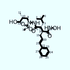 CC(C)C[C@@H](C(=O)NN(C[C@@H](C)CO)S(C)(=O)=O)[C@H](CC=Cc1ccccc1)C(=O)NO